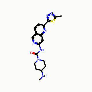 CNC1CCN(C(=O)Nc2cc3nc(-c4nnc(C)s4)ccc3cn2)CC1